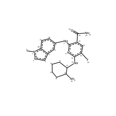 Cn1ncc2cc(Nc3nc(NC4CCCCC4N)c(F)cc3C(N)=O)ccc21